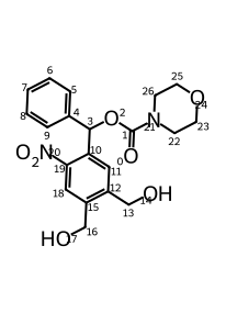 O=C(OC(c1ccccc1)c1cc(CO)c(CO)cc1[N+](=O)[O-])N1CCOCC1